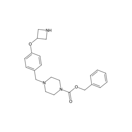 O=C(OCc1ccccc1)N1CCN(Cc2ccc(OC3CNC3)cc2)CC1